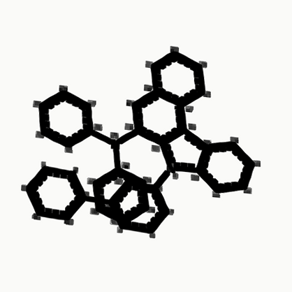 c1ccc(-c2cccc(-n3c4ccccc4c4c5ccccc5cc(N(c5ccccc5)c5ccccc5)c43)c2)cc1